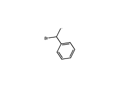 [CH2]C(Br)c1ccccc1